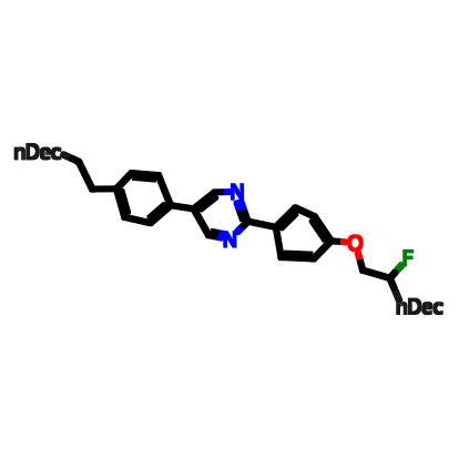 CCCCCCCCCCCCc1ccc(-c2cnc(-c3ccc(OCC(F)CCCCCCCCCC)cc3)nc2)cc1